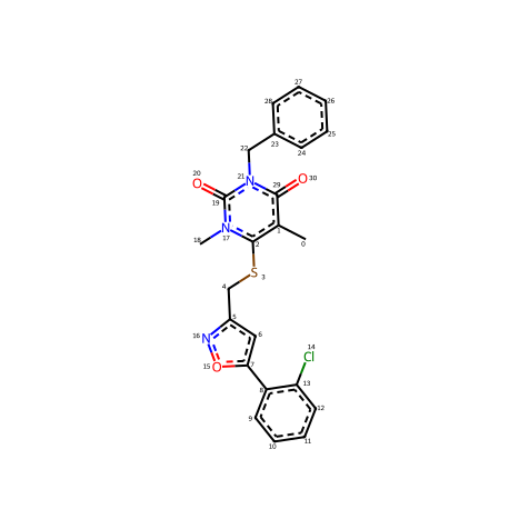 Cc1c(SCc2cc(-c3ccccc3Cl)on2)n(C)c(=O)n(Cc2ccccc2)c1=O